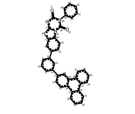 O=c1nc2sc3cc(-c4cccc(-c5ccc6c7ccccc7c7ccccc7c6c5)c4)ccc3n2c(=O)n1-c1ccccc1